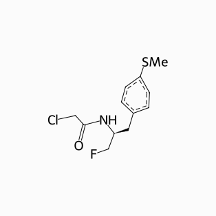 CSc1ccc(C[C@@H](CF)NC(=O)CCl)cc1